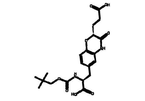 CC(C)(C)COC(=O)N[C@@H](Cc1ccc2c(c1)NC(=O)[C@@H](CCC(=O)O)O2)C(=O)O